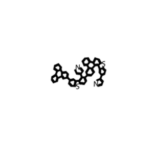 c1cncc(-c2ccc3sc4ccc5c6ccccc6c6cc(-c7ccc8sc9ccc(-c%10ccc%11c%12ccccc%12c%12ccccc%12c%11c%10)cc9c8c7-c7ccncc7)ccc6c5c4c3c2)c1